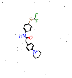 O=C(Cc1ccc(N2CCCCC2)cc1)Nc1ccc(SC(F)F)cc1